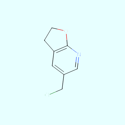 ClCc1cnc2c(c1)CCO2